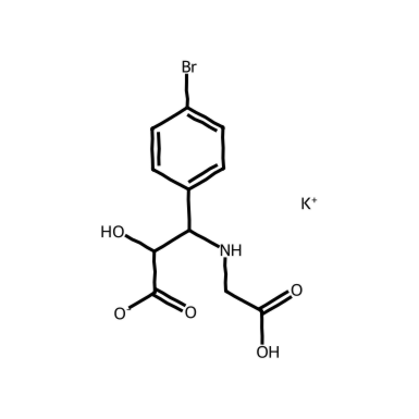 O=C(O)CNC(c1ccc(Br)cc1)C(O)C(=O)[O-].[K+]